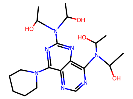 CC(O)N(c1nc(N2CCCCC2)c2ncnc(N(C(C)O)C(C)O)c2n1)C(C)O